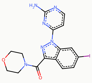 Nc1nccc(-n2nc(C(=O)N3CCOCC3)c3ccc(I)cc32)n1